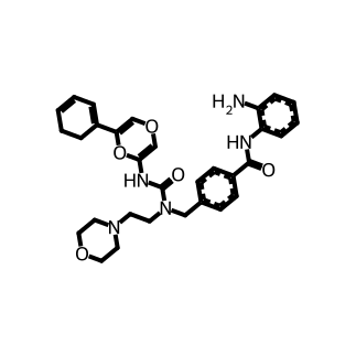 Nc1ccccc1NC(=O)c1ccc(CN(CCN2CCOCC2)C(=O)NC2=COC=C(C3=CC=CCC3)O2)cc1